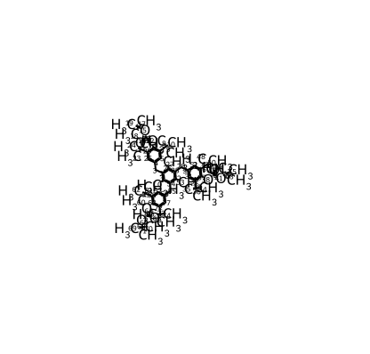 Cc1c(Cc2cc(C(C)(C)C)c(OC(=O)OC(C)(C)C)c(C(C)(C)C)c2)c(C)c(Cc2cc(C(C)(C)C)c(OC(=O)OC(C)(C)C)c(C(C)(C)C)c2)c(C)c1Cc1cc(C(C)(C)C)c(OC(=O)OC(C)(C)C)c(C(C)(C)C)c1